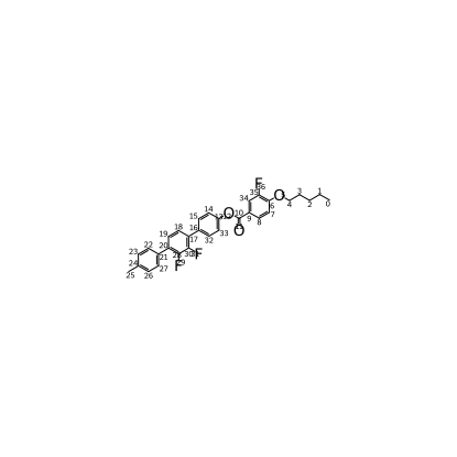 CCCCCOc1ccc(C(=O)Oc2ccc(-c3ccc(-c4ccc(C)cc4)c(F)c3F)cc2)cc1F